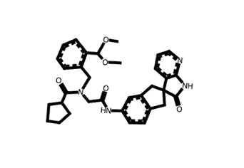 COC(OC)c1ccccc1CN(CC(=O)Nc1ccc2c(c1)CC1(C2)C(=O)Nc2ncccc21)C(=O)C1CCCC1